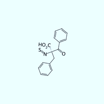 O=C(O)[C@](Cc1ccccc1)(N=S)C(=O)c1ccccc1